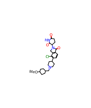 COC1CCC(CN2CCC(c3ccc4c(c3Cl)CN(C3CCC(=O)NC3=O)C4=O)CC2)CC1